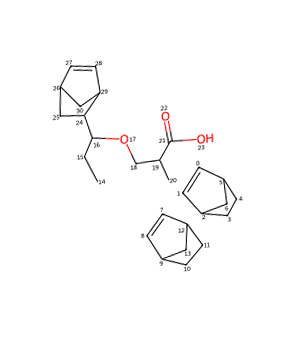 C1=CC2CCC1C2.C1=CC2CCC1C2.CCC(OCC(C)C(=O)O)C1CC2C=CC1C2